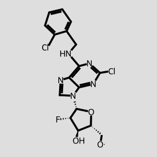 [O]C[C@H]1O[C@@H](n2cnc3c(NCc4ccccc4Cl)nc(Cl)nc32)[C@@H](F)[C@@H]1O